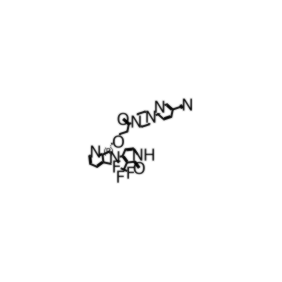 N#Cc1ccc(N2CCN(C(=O)CCOC[C@H]3c4ncccc4CN3c3cc[nH]c(=O)c3C(F)(F)F)CC2)nc1